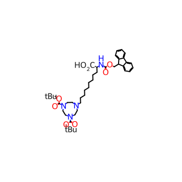 CC(C)(C)OC(=O)N1CCN(CCCCCCCCC[C@H](NC(=O)OCC2c3ccccc3-c3ccccc32)C(=O)O)CCN(C(=O)OC(C)(C)C)CC1